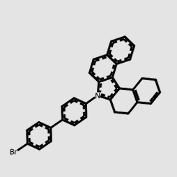 Brc1ccc(-c2ccc(-n3c4c(c5c6ccccc6ccc53)C3=C(C=CCC3)CC4)cc2)cc1